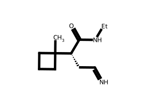 CCNC(=O)[C@H](CC=N)C1(C)CCC1